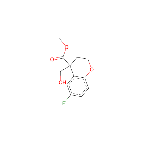 COC(=O)C1(CO)CCOc2ccc(F)cc21